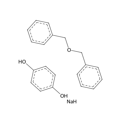 Oc1ccc(O)cc1.[NaH].c1ccc(COCc2ccccc2)cc1